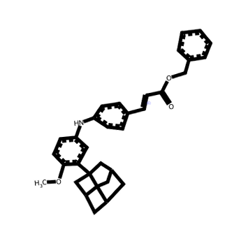 COc1ccc(Nc2ccc(/C=C/C(=O)OCc3ccccc3)cc2)cc1C12CC3CC4CC(C1)C42C3